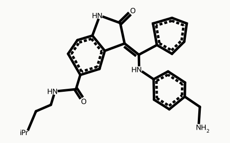 CC(C)CCNC(=O)c1ccc2c(c1)C(=C(Nc1ccc(CN)cc1)c1ccccc1)C(=O)N2